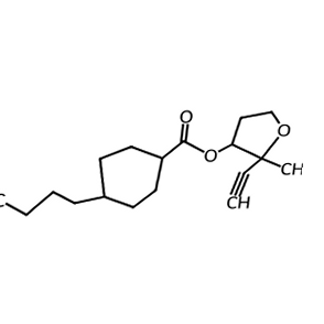 C#CC1(C)OCCC1OC(=O)C1CCC(CCCC)CC1